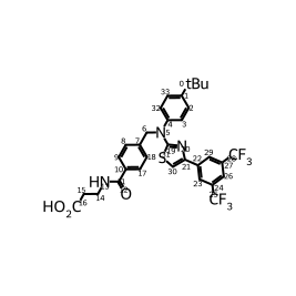 CC(C)(C)c1ccc(N(Cc2ccc(C(=O)NCCC(=O)O)cc2)c2nc(-c3cc(C(F)(F)F)cc(C(F)(F)F)c3)cs2)cc1